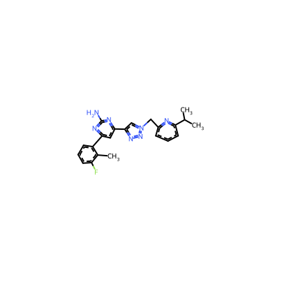 Cc1c(F)cccc1-c1cc(-c2cn(Cc3cccc(C(C)C)n3)nn2)nc(N)n1